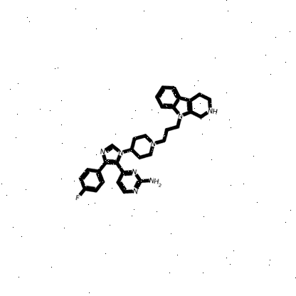 Nc1nccc(-c2c(-c3ccc(F)cc3)ncn2C2CCN(CCCn3c4c(c5ccccc53)CCNC4)CC2)n1